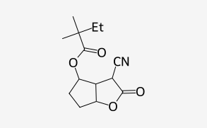 CCC(C)(C)C(=O)OC1CCC2OC(=O)C(C#N)C21